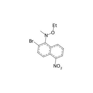 CCON(C)c1c(Br)ccc2c([N+](=O)[O-])cccc12